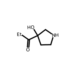 CCC(=O)C1(O)CCNC1